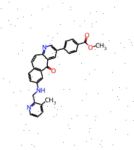 COC(=O)c1ccc(-c2cnc3ccc4ccc(NCc5ncccc5C)cc4c(=O)c3c2)cc1